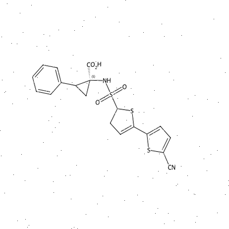 N#Cc1ccc(C2=CCC(S(=O)(=O)N[C@@]3(C(=O)O)CC3c3ccccc3)S2)s1